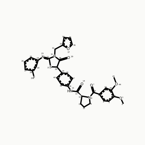 COc1ccc(C(=O)N2CCC[C@H]2C(=O)Nc2ccc(C3S/C(=N\c4cccc(F)c4)N(Cc4ccco4)C3=O)cc2)cc1OC